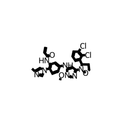 C=CC(=O)Nc1cc(Nc2cc(N3OCCC3c3cccc(Cl)c3Cl)ncn2)c(OC)cc1-n1cnc(C)c1